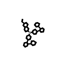 C=Cc1ccc2cc(N(c3ccc(-c4ccccc4-c4ccccc4)cc3)c3ccc(-c4ccccc4-c4ccccc4)cc3)ccc2c1